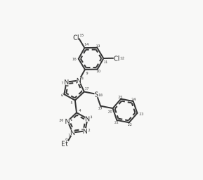 CCn1nnc(-c2cnn(-c3cc(Cl)cc(Cl)c3)c2SCc2ccccc2)n1